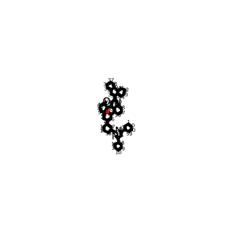 c1ccc(-c2cc(-c3ccccc3)nc(-c3cccc(-c4cccc(-c5cccc6nc(-c7cc8ccccc8c8ccccc78)c7oc8ccccc8c7c56)c4)c3)n2)cc1